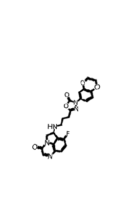 O=c1oc(CCCN[C@@H]2Cn3c(=O)cnc4ccc(F)c2c43)nn1-c1ccc2c(c1)OCCO2